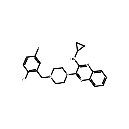 Clc1ccc(I)cc1CN1CCN(c2nc3ccccc3nc2NC2CC2)CC1